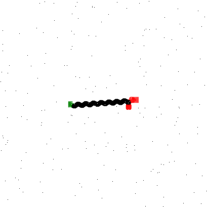 O=C(O)CCCCCCCCCCCCCCF